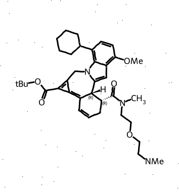 CNCCOCCN(C)C(=O)[C@@H]1CC=CC2=C3C(=C3C(=O)OC(C)(C)C)Cn3c(cc4c(OC)ccc(C5CCCCC5)c43)[C@@H]21